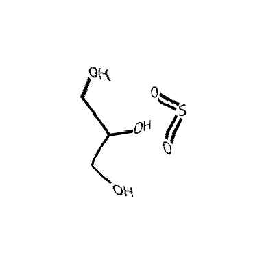 O=S=O.OCC(O)CO